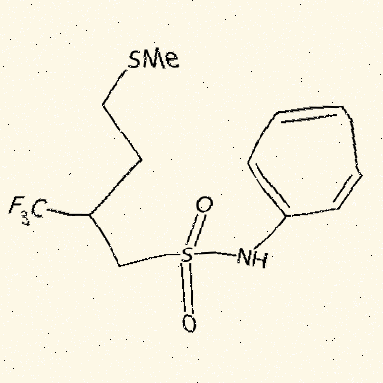 CSCCC(CS(=O)(=O)Nc1ccccc1)C(F)(F)F